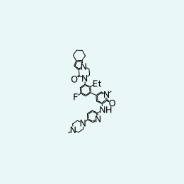 CCc1c(-c2cc(Nc3ccc(N4CCN(C)CC4)cn3)c(=O)n(C)c2)cc(F)cc1N1CCn2c(cc3c2CCCC3)C1=O